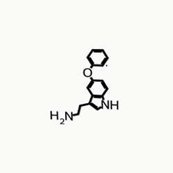 NCCc1c[nH]c2ccc(Oc3[c]cccc3)cc12